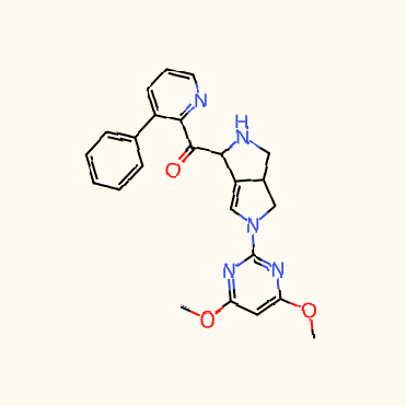 COc1cc(OC)nc(N2C=C3C(CNC3C(=O)c3ncccc3-c3ccccc3)C2)n1